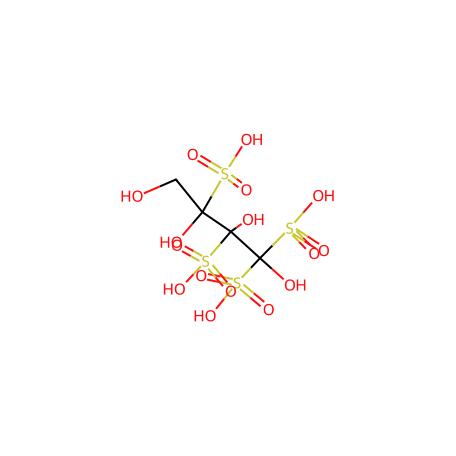 O=S(=O)(O)C(O)(CO)C(O)(C(O)(S(=O)(=O)O)S(=O)(=O)O)S(=O)(=O)O